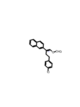 O=CO/C=C(\CCc1ccc(Cl)cc1)c1ccc2ccccc2c1